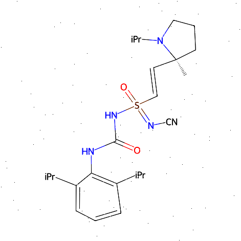 CC(C)c1cccc(C(C)C)c1NC(=O)NS(=O)(/C=C/[C@]1(C)CCCN1C(C)C)=NC#N